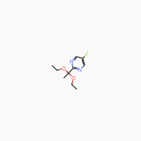 CCOC(C)(OCC)c1ncc(F)cn1